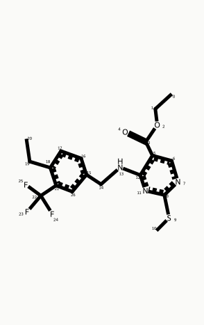 CCOC(=O)c1cnc(SC)nc1NCc1ccc(CC)c(C(F)(F)F)c1